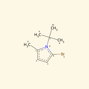 Cc1ccc(Br)n1C(C)(C)C